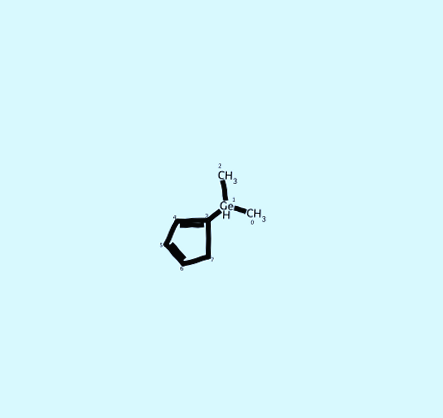 [CH3][GeH]([CH3])[C]1=CC=CC1